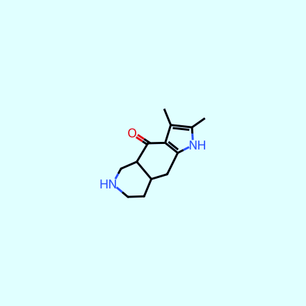 Cc1[nH]c2c(c1C)C(=O)C1CNCCC1C2